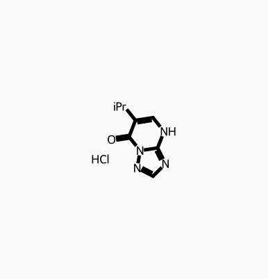 CC(C)c1c[nH]c2ncnn2c1=O.Cl